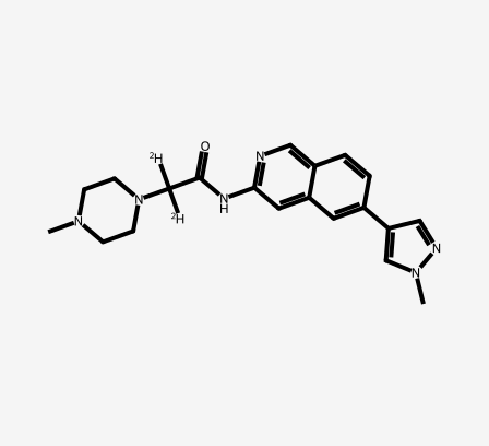 [2H]C([2H])(C(=O)Nc1cc2cc(-c3cnn(C)c3)ccc2cn1)N1CCN(C)CC1